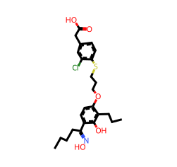 CCCCC(=NO)c1ccc(OCCCSc2ccc(CC(=O)O)cc2Cl)c(CCC)c1O